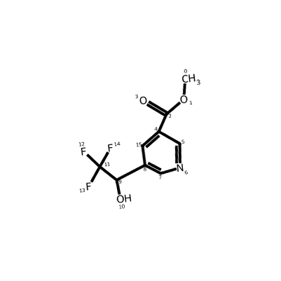 COC(=O)c1cncc(C(O)C(F)(F)F)c1